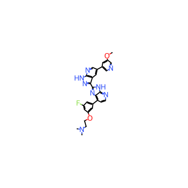 COc1cncc(-c2cnc3[nH]nc(-c4nc5c(-c6cc(F)cc(OCCN(C)C)c6)ccnc5[nH]4)c3c2)c1